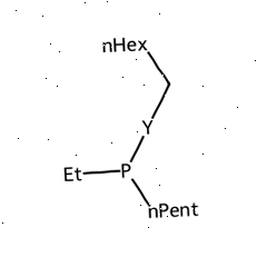 CCCCCC[CH2][Y][P](CC)CCCCC